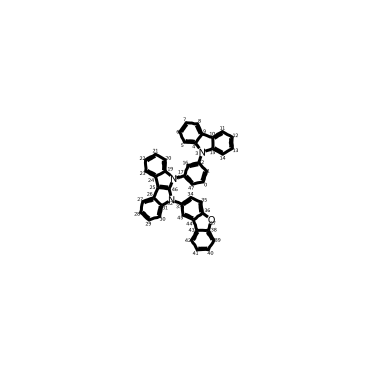 c1cc(-n2c3ccccc3c3ccccc32)cc(-n2c3ccccc3c3c4ccccc4n(-c4ccc5oc6ccccc6c5c4)c32)c1